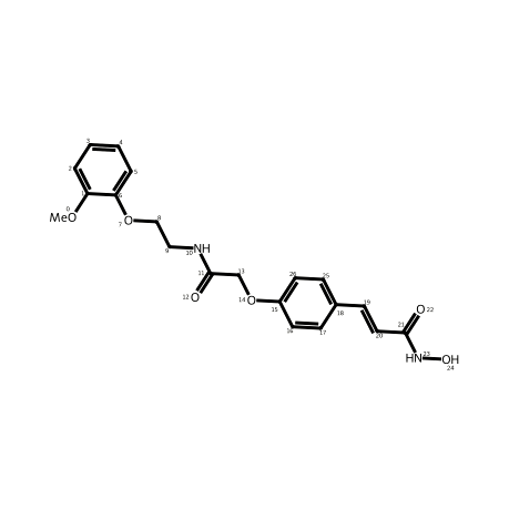 COc1ccccc1OCCNC(=O)COc1ccc(C=CC(=O)NO)cc1